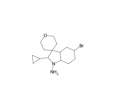 NN1C2CCC(Br)CC2C2(CCOCC2)C1C1CC1